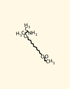 C=CC(=O)OCCCCCCCCCCCO[C@@H](C)C(C)N